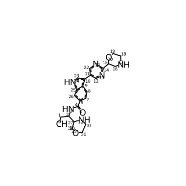 CCC(NC(=O)c1ccc2c(-c3cnc(C4CNCCO4)nc3)c[nH]c2c1)C1COCCN1